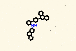 c1ccc(-c2ccc(-c3cc4ccccc4c4ccccc34)cc2)c(Nc2ccc3c(ccc4ccccc43)c2)c1